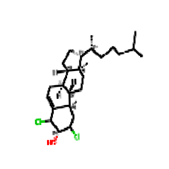 CC(C)CCC[C@@H](C)[C@H]1CC[C@H]2[C@@H]3CC=C4C(Cl)[C@@H](O)C(Cl)C[C@]4(C)[C@H]3CC[C@]12C